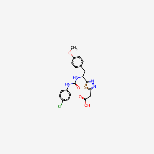 COc1ccc(CC(NC(=O)Nc2ccc(Cl)cc2)c2nnc(CC(=O)O)s2)cc1